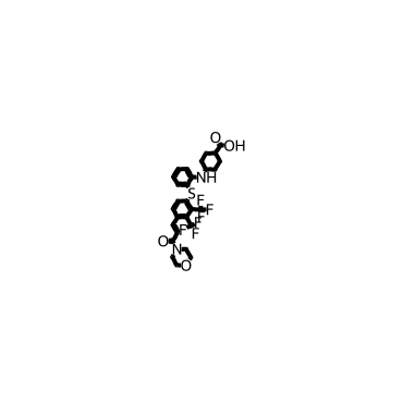 O=C(O)C1CCC(Nc2ccccc2Sc2ccc(/C=C/C(=O)N3CCOCC3)c(C(F)(F)F)c2C(F)(F)F)CC1